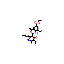 CCCCc1c(C(=O)Nc2c(CC)cc(C(=O)OCC)cc2CC)c(=O)c(CC)c(C)n1C